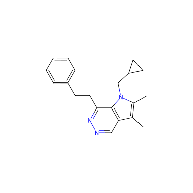 Cc1c(C)n(CC2CC2)c2c(CCc3ccccc3)nncc12